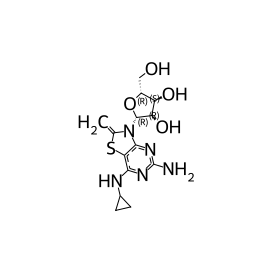 C=C1Sc2c(NC3CC3)nc(N)nc2N1[C@@H]1O[C@H](CO)[C@@H](O)[C@H]1O